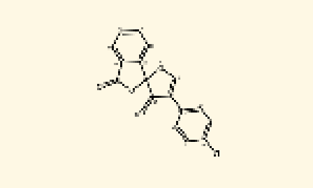 O=C1OC2(OC=C(c3ccc(Cl)cc3)C2=O)c2ccccc21